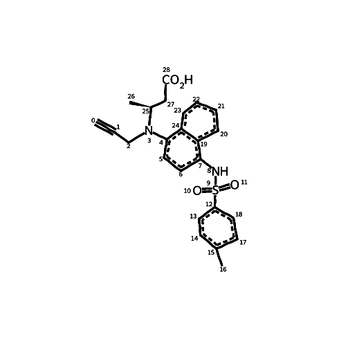 C#CCN(c1ccc(NS(=O)(=O)c2ccc(C)cc2)c2ccccc12)[C@@H](C)CC(=O)O